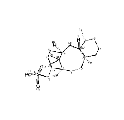 C[C@@H]1CCC[C@@]2(C)CC[C@H]3[C@H](CS(=O)(=O)O)CC[C@@H](C[C@H]12)C3(C)C